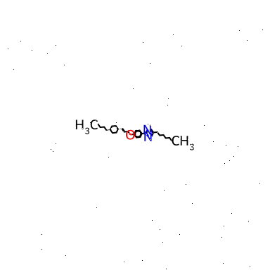 CCCCCCCc1cnc(-c2ccc(OCC=C[C@H]3CC[C@H](CCCCC)CC3)cc2)nc1